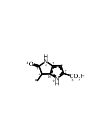 CC1C(=O)Nc2cc(C(=O)O)[nH]c21